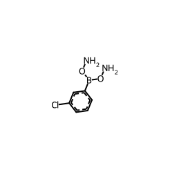 NOB(ON)c1cccc(Cl)c1